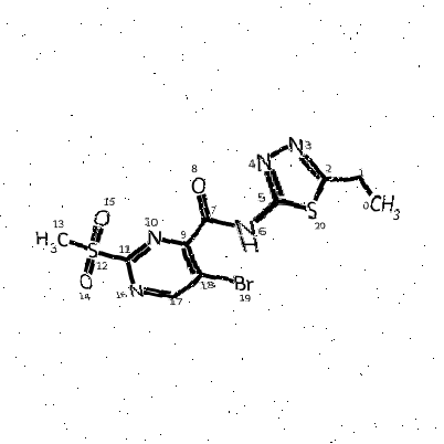 CCc1nnc(NC(=O)c2nc(S(C)(=O)=O)ncc2Br)s1